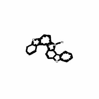 CC(C)n1c2c(c3c4c5c(oc4ccc31)CCC=C5)C=CC1Oc3ccccc3C21